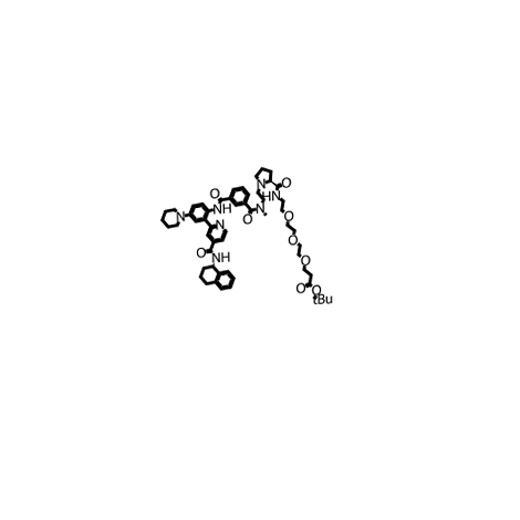 CN(CCN1CCC[C@H]1C(=O)NCCOCCOCCOCCC(=O)OC(C)(C)C)C(=O)c1cccc(C(=O)Nc2ccc(N3CCCCC3)cc2-c2cc(C(=O)N[C@H]3CCCc4ccccc43)ccn2)c1